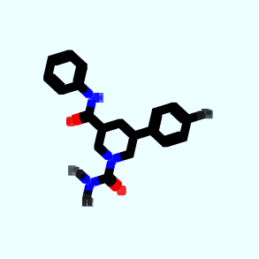 CCc1ccc(C2CC(C(=O)Nc3ccccc3)CN(C(=O)N(CC)CC)C2)cc1